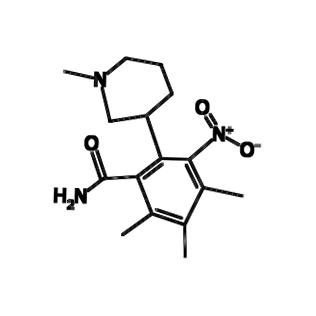 Cc1c(C)c(C(N)=O)c(C2CCCN(C)C2)c([N+](=O)[O-])c1C